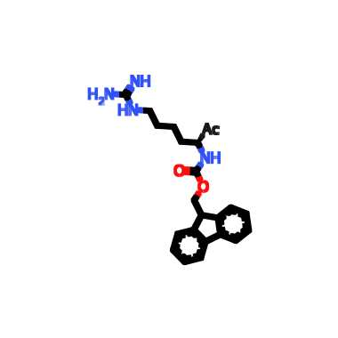 CC(=O)[C@H](CCCCNC(=N)N)NC(=O)OCC1c2ccccc2-c2ccccc21